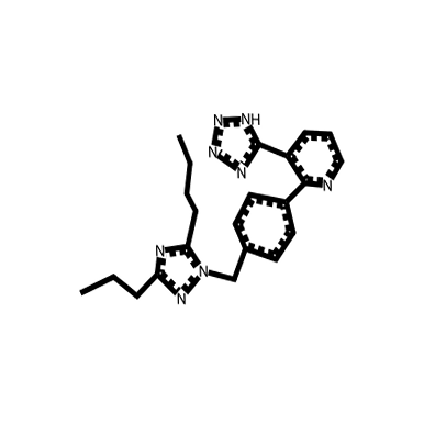 CCCCc1nc(CCC)nn1Cc1ccc(-c2ncccc2-c2nnn[nH]2)cc1